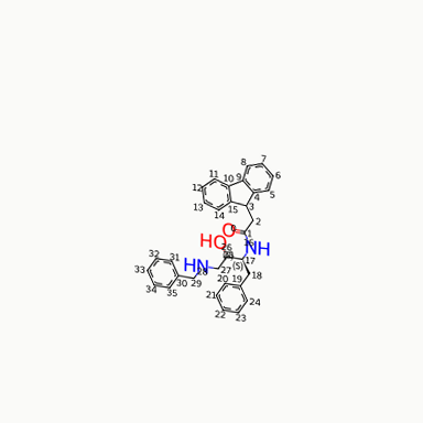 O=C(CC1c2ccccc2-c2ccccc21)N[C@@H](Cc1ccccc1)[C@@H](O)CNCc1ccccc1